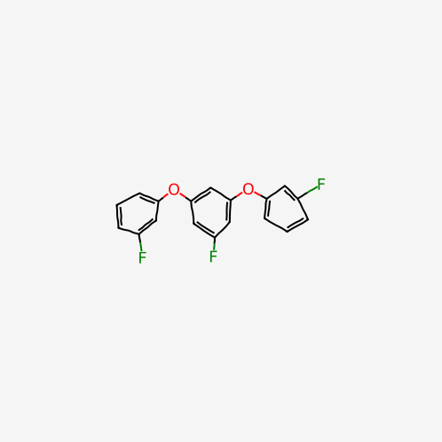 Fc1cccc(Oc2cc(F)cc(Oc3cccc(F)c3)c2)c1